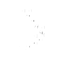 CO.ClC(Cl)Cl.ClC(Cl)Cl.ClC(Cl)Cl.ClC(Cl)Cl.ClC(Cl)Cl.ClC(Cl)Cl.ClC(Cl)Cl.ClC(Cl)Cl